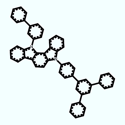 c1ccc(-c2cc(-c3ccccc3)cc(-c3ccc(-n4c5ccccc5c5c4ccc4c6ccccc6n(-c6cccc(-c7ccccc7)c6)c45)cc3)c2)cc1